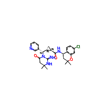 CC1(C)CC(=O)N([C@H](c2cccnc2)[C@@H]2C[C@H]2C(=O)NC2CC(C)(C)Oc3cc(Cl)ccc32)C(=N)N1